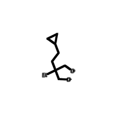 CCC(C[O])(C[O])CCC1CC1